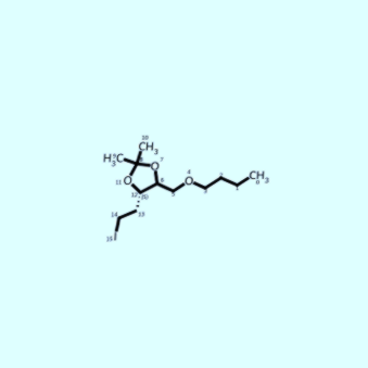 CCCCOCC1OC(C)(C)O[C@H]1CCI